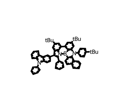 CC(C)(C)c1ccc(N2c3cc(C(C)(C)C)cc4c3B(c3ccc5ccccc5c32)n2c(-c3ccccc3)c(-c3ccc5c(c3)c3ccccc3n5-c3ccccc3)c3cc(C(C)(C)C)cc-4c32)cc1